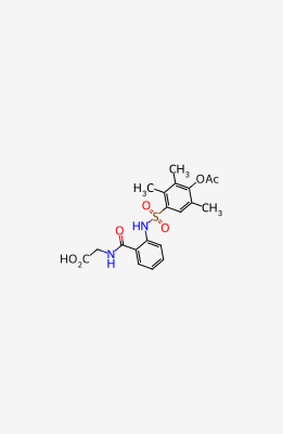 CC(=O)Oc1c(C)cc(S(=O)(=O)Nc2ccccc2C(=O)NCC(=O)O)c(C)c1C